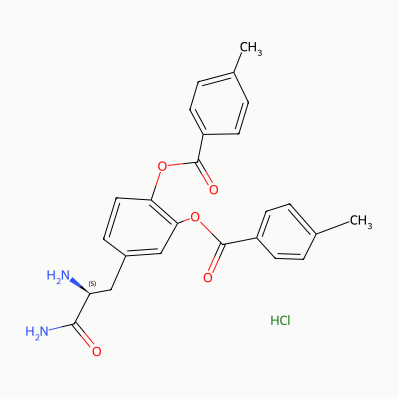 Cc1ccc(C(=O)Oc2ccc(C[C@H](N)C(N)=O)cc2OC(=O)c2ccc(C)cc2)cc1.Cl